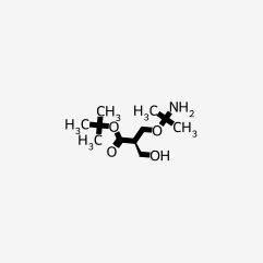 CC(C)(C)OC(=O)[C@H](CO)COC(C)(C)N